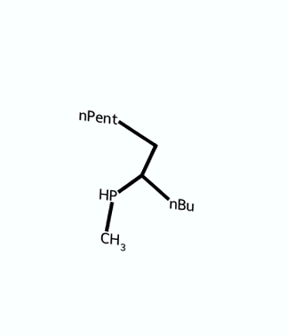 CCCCCCC(CCCC)PC